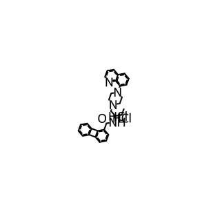 CCC(CN1CCN(c2cccc3cccnc23)CC1)NC(=O)c1cccc2c1-c1ccccc1-2.Cl.Cl